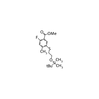 COC(=O)c1cc(SCCO[Si](C)(C)C(C)(C)C)c(C)cc1F